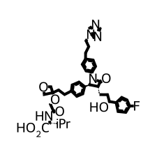 CC(C)[C@@H](NC(=O)COC1(CCc2ccc([C@@H]3[C@@H](CC[C@H](O)c4ccc(F)cc4)C(=O)N3c3ccc(CCCn4cncn4)cc3)cc2)COC1)C(=O)O